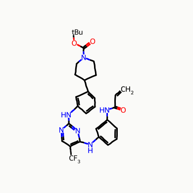 C=CC(=O)Nc1cccc(Nc2nc(Nc3cccc(C4CCN(C(=O)OC(C)(C)C)CC4)c3)ncc2C(F)(F)F)c1